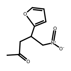 CC(=O)CC(C[N+](=O)[O-])c1ccco1